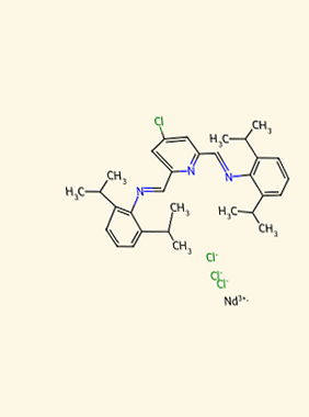 CC(C)c1cccc(C(C)C)c1N=Cc1cc(Cl)cc(C=Nc2c(C(C)C)cccc2C(C)C)n1.[Cl-].[Cl-].[Cl-].[Nd+3]